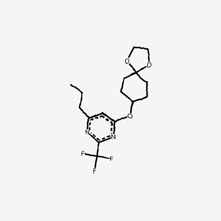 CCCc1cc(OC2CCC3(CC2)OCCO3)nc(C(F)(F)F)n1